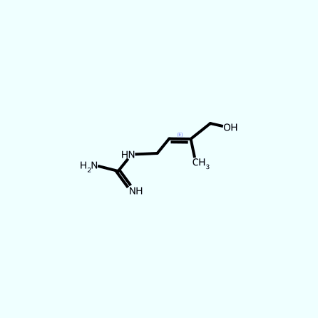 C/C(=C\CNC(=N)N)CO